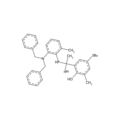 CCCC(C)(Pc1c(C)cccc1N(Cc1ccccc1)Cc1ccccc1)c1cc(C(C)(C)C)cc(C)c1O